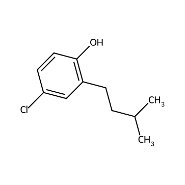 CC(C)CCc1cc(Cl)ccc1O